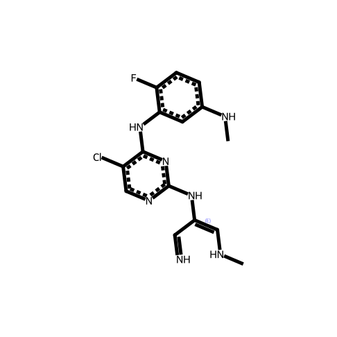 CN/C=C(\C=N)Nc1ncc(Cl)c(Nc2cc(NC)ccc2F)n1